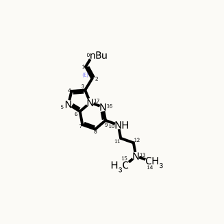 CCCC/C=C/c1cnc2ccc(NCCN(C)C)nn12